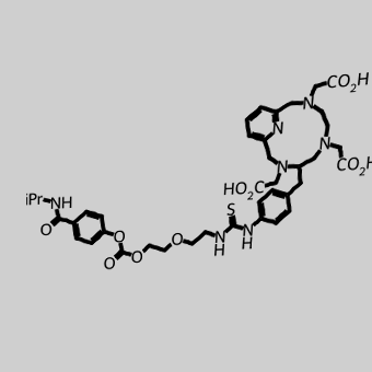 CC(C)NC(=O)c1ccc(OC(=O)OCCOCCNC(=S)Nc2ccc(CC3CN(CC(=O)O)CCN(CC(=O)O)Cc4cccc(n4)CN3CC(=O)O)cc2)cc1